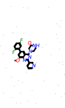 COc1cc(-c2cc(F)ccc2F)cc2c(N3CCNC(=O)C3)nc(-c3cccnc3)nc12